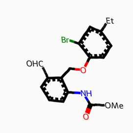 CCc1ccc(OCc2c(C=O)cccc2NC(=O)OC)c(Br)c1